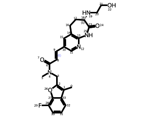 Cc1c(CN(C)C(=O)/C=C/c2cnc3c(c2)CC[C@H](NCCO)C(=O)N3)oc2c(F)cccc12